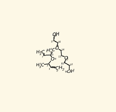 C=CC(C)OC(C)C=C.OCCOCCOCCO